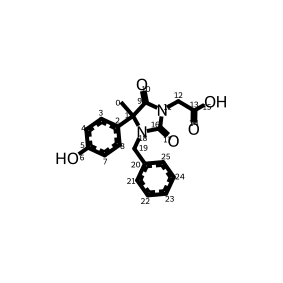 CC1(c2ccc(O)cc2)C(=O)N(CC(=O)O)C(=O)N1Cc1ccccc1